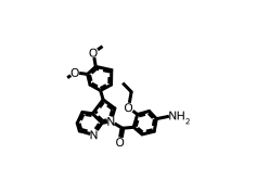 CCOc1cc(N)ccc1C(=O)n1cc(-c2ccc(OC)c(OC)c2)c2cccnc21